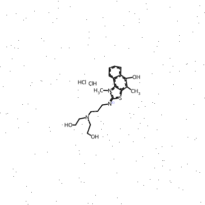 Cc1c(O)c2ccccc2c2c1s/c(=N/CCCN(CCO)CCO)n2C.Cl.Cl